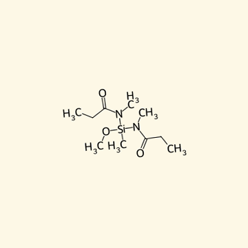 CCC(=O)N(C)[Si](C)(OC)N(C)C(=O)CC